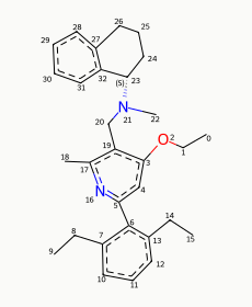 CCOc1cc(-c2c(CC)cccc2CC)nc(C)c1CN(C)[C@H]1CCCc2ccccc21